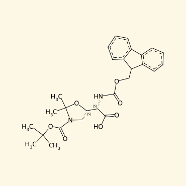 CC(C)(C)OC(=O)N1C[C@@H]([C@H](NC(=O)OCC2c3ccccc3-c3ccccc32)C(=O)O)OC1(C)C